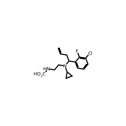 C=CCC(c1cccc(Cl)c1F)N(CCNC(=O)O)C1CC1